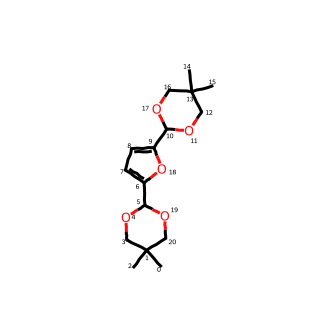 CC1(C)COC(c2ccc(C3OCC(C)(C)CO3)o2)OC1